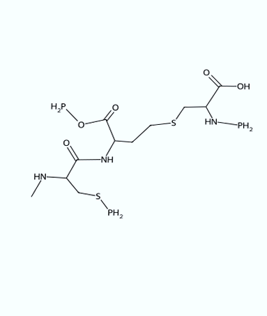 CNC(CSP)C(=O)NC(CCSCC(NP)C(=O)O)C(=O)OP